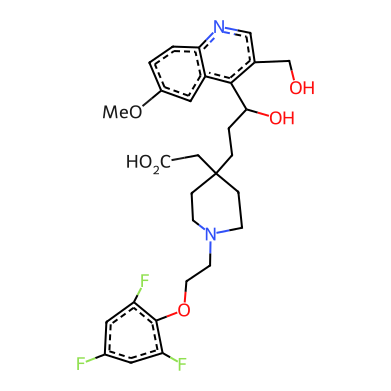 COc1ccc2ncc(CO)c(C(O)CCC3(CC(=O)O)CCN(CCOc4c(F)cc(F)cc4F)CC3)c2c1